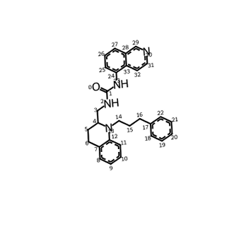 O=C(NCC1CCc2ccccc2N1CCCc1ccccc1)Nc1cccc2cnccc12